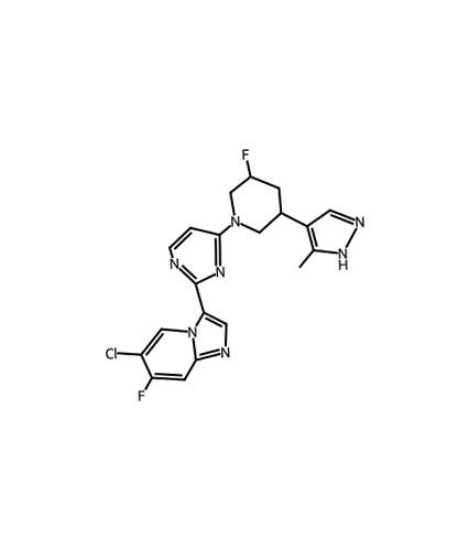 Cc1[nH]ncc1C1CC(F)CN(c2ccnc(-c3cnc4cc(F)c(Cl)cn34)n2)C1